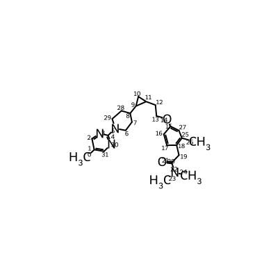 Cc1cnc(N2CCC(C3CC3CCOc3ccc(CC(=O)N(C)C)c(C)c3)CC2)nc1